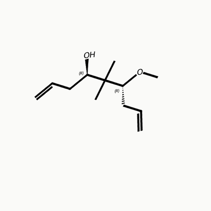 C=CC[C@@H](O)C(C)(C)[C@@H](CC=C)OC